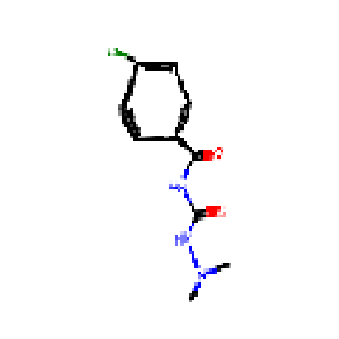 CN(C)NC(=O)NC(=O)c1ccc(Cl)cc1